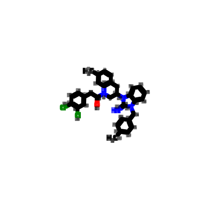 Cc1ccc(CC(CNC(=O)Cc2ccc(Cl)c(Cl)c2)n2c(=N)n(Cc3ccc(C)cc3)c3ccccc32)cc1